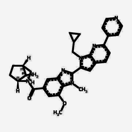 COc1cc(C(=O)N2C[C@H]3CC[C@@H]2[C@@H]3N)cc2nc(-c3cc4ccc(-c5ccncc5)nc4n3CC3CC3)n(C)c12